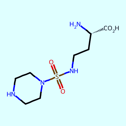 N[C@@H](CCNS(=O)(=O)N1CCNCC1)C(=O)O